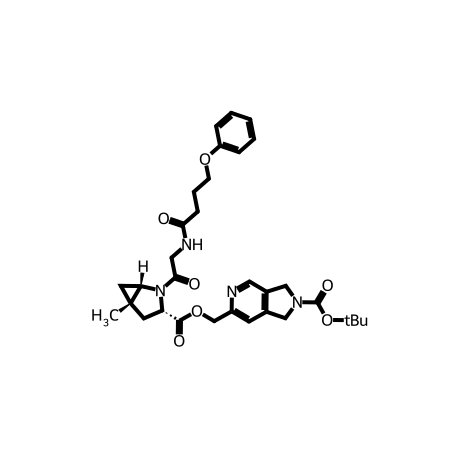 CC(C)(C)OC(=O)N1Cc2cnc(COC(=O)[C@@H]3C[C@]4(C)C[C@@H]4N3C(=O)CNC(=O)CCCOc3ccccc3)cc2C1